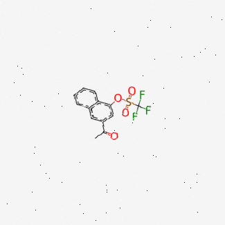 CC(=O)c1cc(OS(=O)(=O)C(F)(F)F)c2ccccc2c1